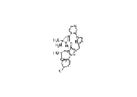 CC(C)(N)CNc1ccncc1-n1cnc(Cn2nc(-c3ccc(Cl)cc3)n(C[C@H](O)C(F)(F)F)c2=O)n1